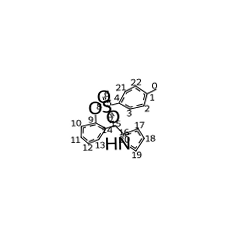 Cc1ccc(S(=O)(=O)Oc2ccccc2Cc2ccc[nH]2)cc1